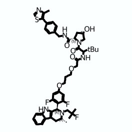 Cc1ncsc1-c1ccc(CNC(=O)[C@@H]2C[C@@H](O)CN2C(=O)C(NC(=O)COCCCOc2cc(F)c([C@@H]3c4[nH]c5ccccc5c4C[C@@H](C)N3CC(C)(C)F)c(F)c2)C(C)(C)C)cc1